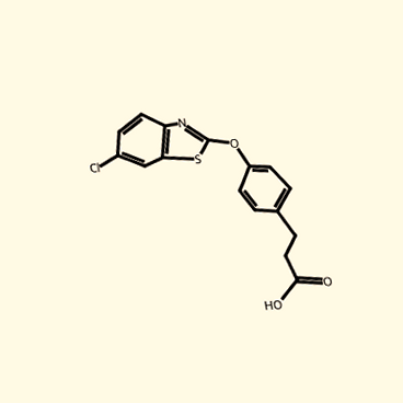 O=C(O)CCc1ccc(Oc2nc3ccc(Cl)cc3s2)cc1